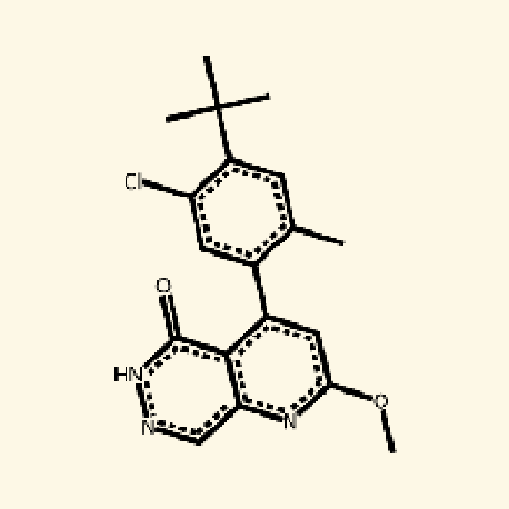 COc1cc(-c2cc(Cl)c(C(C)(C)C)cc2C)c2c(=O)[nH]ncc2n1